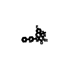 CCN1C(=O)c2nc(-c3ccc(-c4ccccc4)nc3)n(Cc3cc(F)ccc3F)c2N2CC(C)(C)N=C12